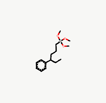 CCC(CCC[Si](OC)(OC)OC)c1ccccc1